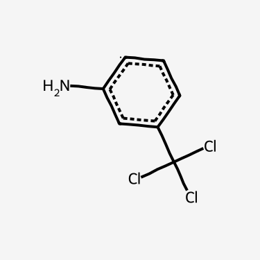 Nc1[c]ccc(C(Cl)(Cl)Cl)c1